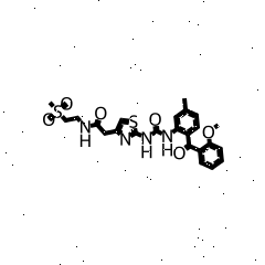 COc1ccccc1C(=O)c1ccc(C)cc1NC(=O)Nc1nc(CC(=O)NCCS(C)(=O)=O)cs1